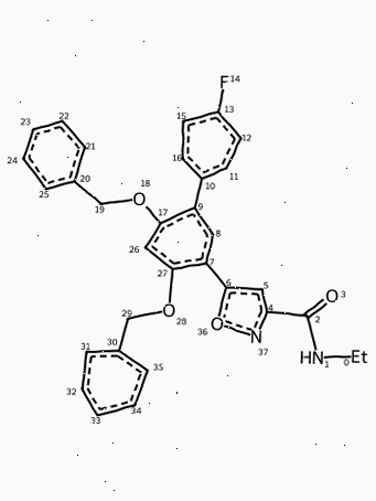 CCNC(=O)c1cc(-c2cc(-c3ccc(F)cc3)c(OCc3ccccc3)cc2OCc2ccccc2)on1